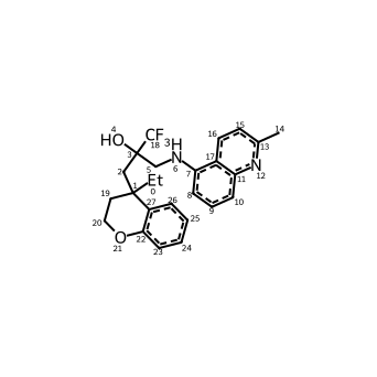 CCC1(CC(O)(CNc2cccc3nc(C)ccc23)C(F)(F)F)CCOc2ccccc21